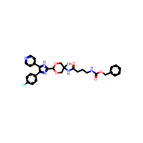 CC1(NC(=O)CCCNC(=O)OCc2ccccc2)COC(c2nc(-c3ccc(F)cc3)c(-c3ccncc3)[nH]2)OC1